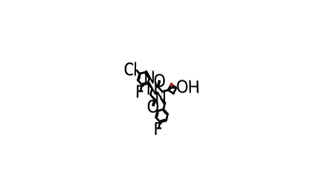 O=C1[C@H](C23CC(O)(C2)C3)N(Cc2ccc(F)cc2)C(=O)CN1c1ncc(Cl)cc1F